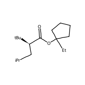 CCC1(OC(=O)[C@@H](CC(C)C)C(C)(C)C)CCCC1